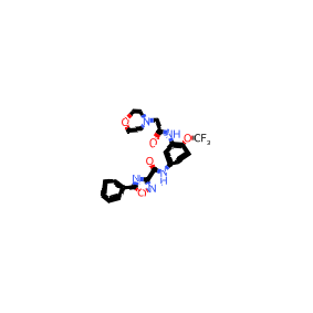 O=C(CN1CCOCC1)Nc1cc(NC(=O)c2noc(-c3ccccc3)n2)ccc1OC(F)(F)F